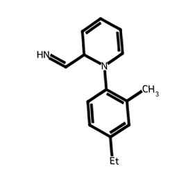 CCc1ccc(N2C=CC=CC2C=N)c(C)c1